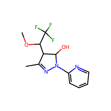 COC(C1C(C)=NN(c2ccccn2)C1O)C(F)(F)F